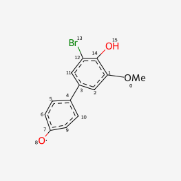 COc1cc(-c2ccc([O])cc2)cc(Br)c1O